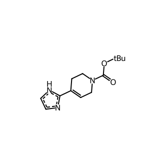 CC(C)(C)OC(=O)N1CC=C(c2ncc[nH]2)CC1